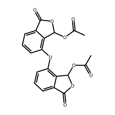 CC(=O)OC1OC(=O)c2cccc(Oc3cccc4c3C(OC(C)=O)OC4=O)c21